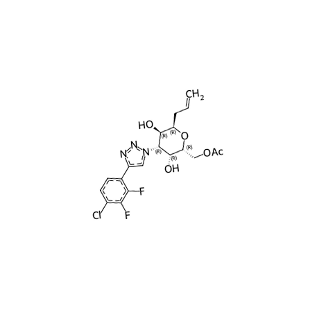 C=CC[C@H]1O[C@H](COC(C)=O)[C@H](O)[C@H](n2cc(-c3ccc(Cl)c(F)c3F)nn2)[C@H]1O